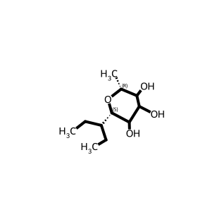 CCC(CC)[C@@H]1O[C@H](C)C(O)C(O)C1O